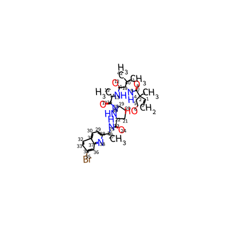 C=CC(C)(CCO)C(=O)N[C@H](C(=O)N[C@@H](C)C(=O)N1CCC[C@@H](C(=O)N[C@H](C)c2ccc3ccc(Br)cc3n2)N1)C(C)C